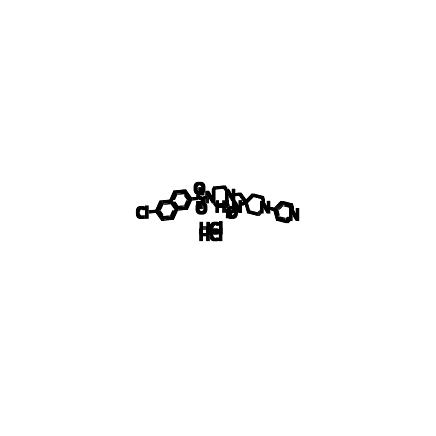 Cl.Cl.NC1(CN2CCN(S(=O)(=O)c3ccc4cc(Cl)ccc4c3)CC2=O)CCN(c2ccncc2)CC1